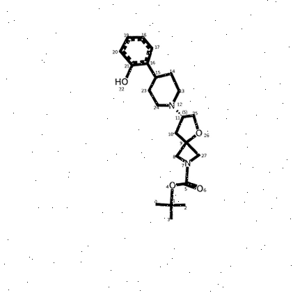 CC(C)(C)OC(=O)N1CC2(C[C@H](N3CCC(c4ccccc4O)CC3)CO2)C1